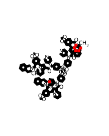 C[C@@H]1Cc2ccccc2CN1C(=O)c1cc2c(cc1-c1cc(C(=O)N(c3ccncc3)c3ccc(OP(=O)(Oc4ccc(N(C(=O)c5cc(-c6cc7c(cc6C(=O)N6Cc8ccccc8C[C@H]6C)OCO7)n6ccccc56)c5ccncc5)cc4)Oc4ccc(N(C(=O)c5cc(-c6cc7c(cc6C(=O)N6Cc8ccccc8C[C@H]6C)OCO7)n6ccccc56)c5ccncc5)cc4)cc3)c3ccccn13)OCO2